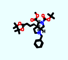 COC(=O)[C@H]1N(C(=O)OC(C)(C)C)C[C@@H]2N(Cc3ccccc3)CC[C@@]21CCCB1OC(C)(C)C(C)(C)O1